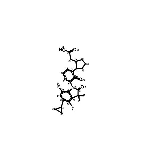 CC1(C)C(=O)N(c2nccn(C3CCCC3CC(=O)O)c2=O)c2c(F)cc(C3CC3)c(F)c21